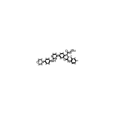 CC(C)(C)OC(=O)N(c1ccc(-c2ccnc(Nc3ccc(N4CCOCC4)cc3)n2)cc1)[C@H](Cc1ccccc1)C(N)=O